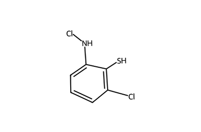 Sc1c(Cl)cccc1NCl